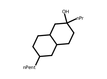 CCCCCC1CCC2CC(O)(CCC)CCC2C1